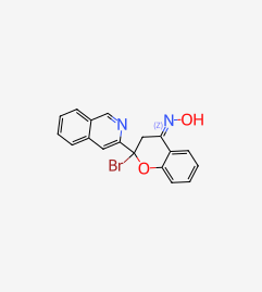 O/N=C1/CC(Br)(c2cc3ccccc3cn2)Oc2ccccc21